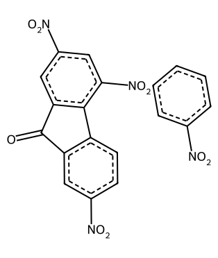 O=C1c2cc([N+](=O)[O-])ccc2-c2c1cc([N+](=O)[O-])cc2[N+](=O)[O-].O=[N+]([O-])c1ccccc1